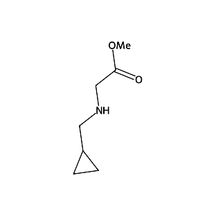 COC(=O)CNCC1CC1